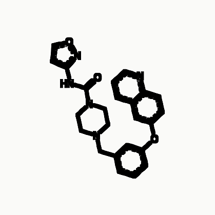 O=C(Nc1ccon1)N1CCN(Cc2cccc(Oc3ccc4ncccc4c3)c2)CC1